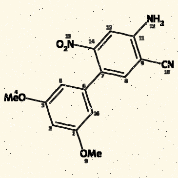 COc1cc(OC)cc(-c2cc(C#N)c(N)cc2[N+](=O)[O-])c1